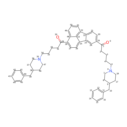 O=C(CCCCN1CCC(Cc2ccccc2)CC1)c1ccc2c(c1)-c1ccc(C(=O)CCCCN3CCC(Cc4ccccc4)CC3)c3cccc-2c13